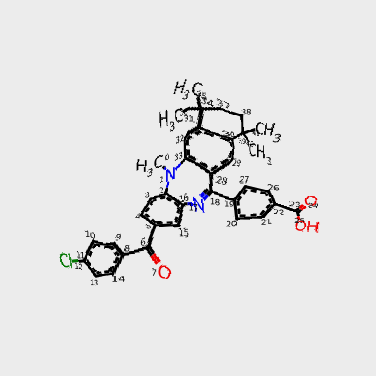 CN1c2ccc(C(=O)c3ccc(Cl)cc3)cc2N=C(c2ccc(C(=O)O)cc2)c2cc3c(cc21)C(C)(C)CCC3(C)C